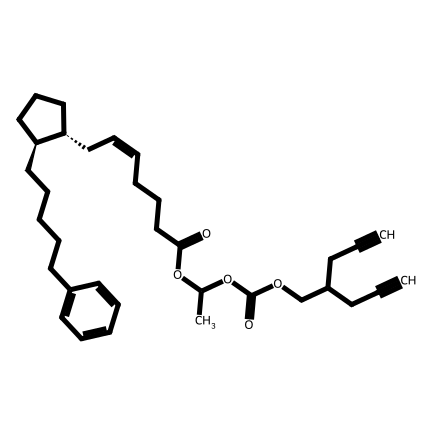 C#CCC(CC#C)COC(=O)OC(C)OC(=O)CCC/C=C\C[C@H]1CCC[C@@H]1CCCCCc1ccccc1